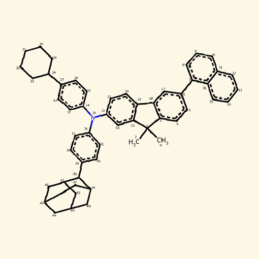 CC1(C)c2ccc(-c3cccc4ccccc34)cc2-c2ccc(N(c3ccc(C4CCCCC4)cc3)c3ccc(C4C5CC6CC(C5)CC4C6)cc3)cc21